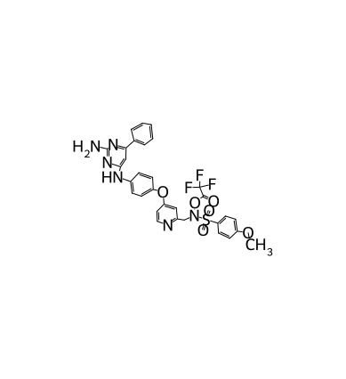 COc1ccc(S(=O)(=O)N(Cc2cc(Oc3ccc(Nc4cc(-c5ccccc5)nc(N)n4)cc3)ccn2)OC(=O)C(F)(F)F)cc1